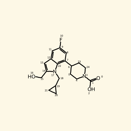 O=C(O)N1CCC(c2cc(F)cc3cc(CO)n(CC4CC4)c23)CC1